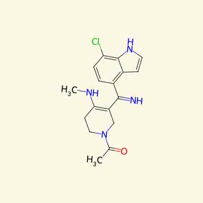 CNC1=C(C(=N)c2ccc(Cl)c3[nH]ccc23)CN(C(C)=O)CC1